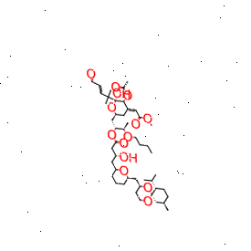 CCCCO[C@H](C)[C@@H](C[C@@H]1C/C(=C\C(=O)OC)[C@H](OC(C)=O)[C@](O)(C(C)(C)/C=C/C=O)O1)OC(=O)C[C@H](O)CC1CCC[C@H](C[C@@H]2CCO[C@@]3(C[C@H](C)CC[C@H]3C(C)C)O2)O1